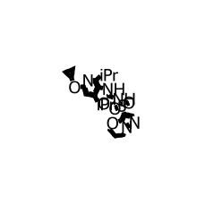 CC(C)c1cc(OC2CC2)nc(C(C)C)c1NC(=O)NS(=O)(=O)c1cnn2c1OCCC2